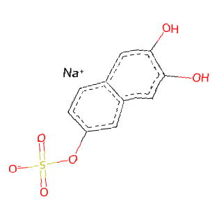 O=S(=O)([O-])Oc1ccc2cc(O)c(O)cc2c1.[Na+]